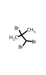 CC(C)(Br)C(Br)Br